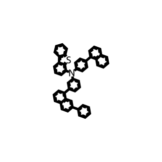 c1ccc(-c2ccc3cccc(-c4cccc(N(c5ccc(-c6cccc7ccccc67)cc5)c5cccc6c5sc5ccccc56)c4)c3c2)cc1